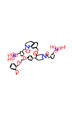 COc1ccccc1COCCCOc1ccc(C2CCN(C(=O)Cc3cccc(CON(O)O)c3)CC2OCc2ccc3c(c2)N(C(=O)Cc2cccc(CON(O)O)c2)CCC3)cc1